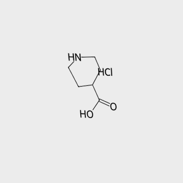 Cl.O=C(O)C1CCNCC1